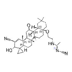 C/C(=N\C#N)NCCO[C@]12CCC(C)(C)C[C@H]1[C@H]1C(=O)C=C3[C@@]4(C)C=C(C#N)C(O)C5(CC5)[C@@H]4CC[C@@]3(C)[C@]1(C)CC2